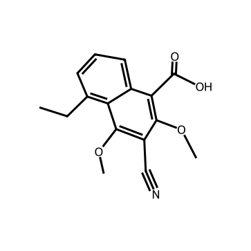 CCc1cccc2c(C(=O)O)c(OC)c(C#N)c(OC)c12